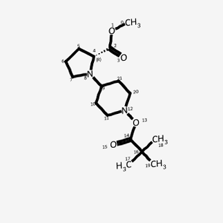 COC(=O)[C@H]1CCCN1C1CCN(OC(=O)C(C)(C)C)CC1